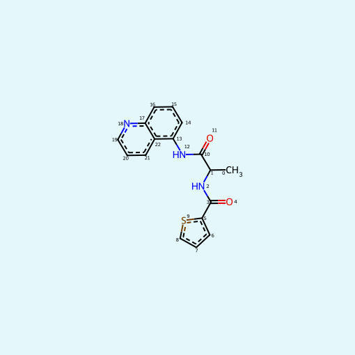 CC(NC(=O)c1cccs1)C(=O)Nc1cccc2ncccc12